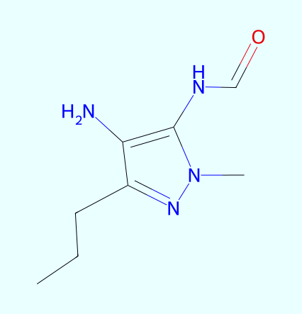 CCCc1nn(C)c(NC=O)c1N